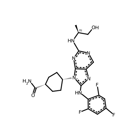 C[C@@H](CO)Nc1ncc2nc(Nc3c(F)cc(F)cc3F)n([C@H]3CC[C@@H](C(N)=O)CC3)c2n1